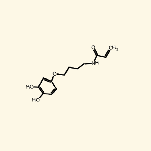 C=CC(=O)NCCCCOc1ccc(O)c(O)c1